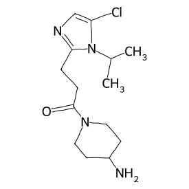 CC(C)n1c(Cl)cnc1CCC(=O)N1CCC(N)CC1